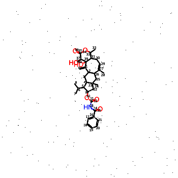 C=C1C2CC3C(C(C)C)C(OC(=O)NC(=O)c4ccccc4)CC3(C)CC2C(C)=CCC2C(C)OC(=O)C(O)C12O